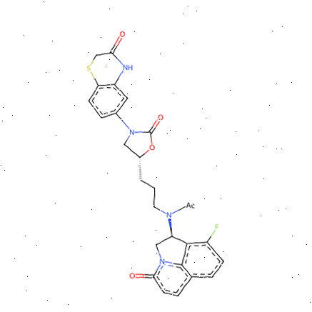 CC(=O)N(CCC[C@@H]1CN(c2ccc3c(c2)NC(=O)CS3)C(=O)O1)[C@@H]1Cn2c(=O)ccc3ccc(F)c1c32